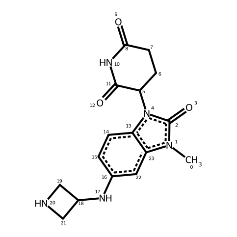 Cn1c(=O)n(C2CCC(=O)NC2=O)c2ccc(NC3CNC3)cc21